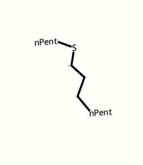 CCCCCCC[CH]SCCCCC